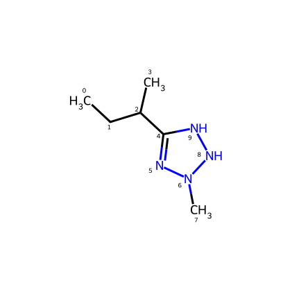 CCC(C)C1=NN(C)NN1